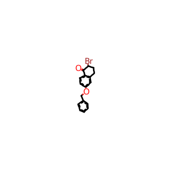 O=C1c2ccc(OCc3ccccc3)cc2CCC1Br